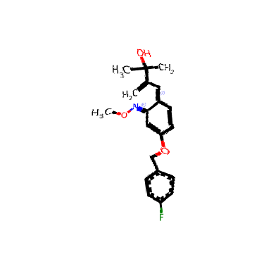 C=C(/C=C1/C=CC(OCc2ccc(F)cc2)=C/C1=N\OC)C(C)(C)O